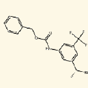 C[C@@H](N)c1cc(NC(=O)OCc2ccccc2)cc(C(F)(F)F)c1